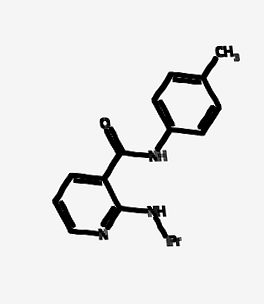 Cc1ccc(NC(=O)c2cccnc2NC(C)C)cc1